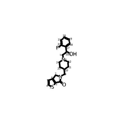 O=C1c2sccc2CN1CC1CCN(CC(O)c2ccccc2F)CC1